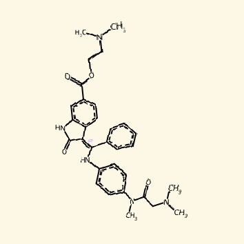 CN(C)CCOC(=O)c1ccc2c(c1)NC(=O)/C2=C(\Nc1ccc(N(C)C(=O)CN(C)C)cc1)c1ccccc1